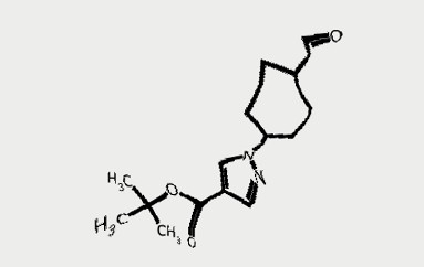 CC(C)(C)OC(=O)c1cnn(C2CCC(C=O)CC2)c1